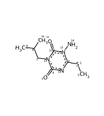 CSc1nc(=O)n(CC(C)C)c(=O)n1N